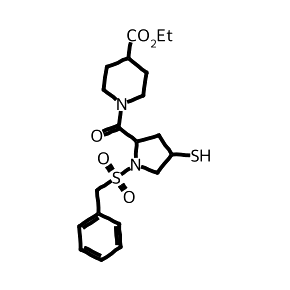 CCOC(=O)C1CCN(C(=O)C2CC(S)CN2S(=O)(=O)Cc2ccccc2)CC1